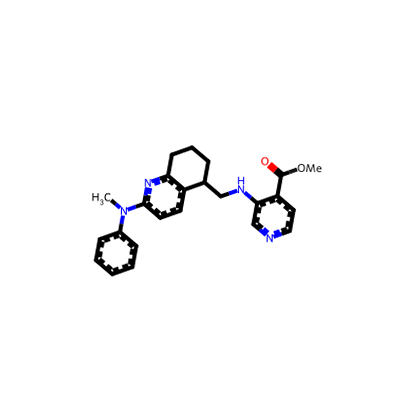 COC(=O)c1ccncc1NCC1CCCc2nc(N(C)c3ccccc3)ccc21